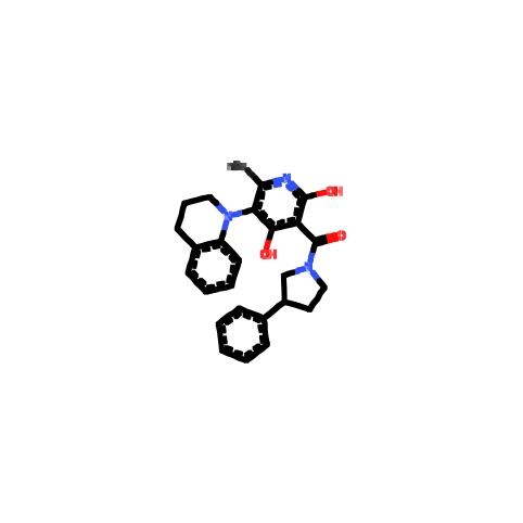 CCCCc1nc(O)c(C(=O)N2CCC(c3ccccc3)C2)c(O)c1N1CCCc2ccccc21